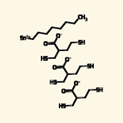 CCCCCCC[CH2][Sn+3].O=C([O-])C(CS)CCS.O=C([O-])C(CS)CCS.O=C([O-])C(CS)CCS